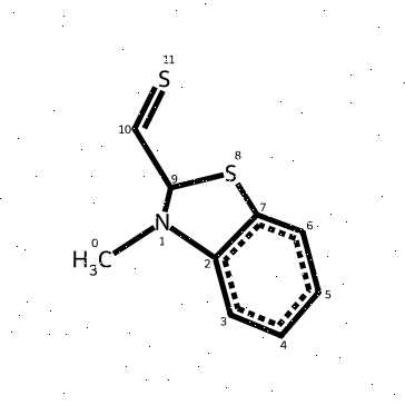 CN1c2ccccc2SC1C=S